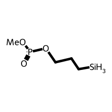 CO[P](=O)OCCC[SiH3]